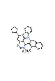 Cc1c2ccccc2cc2c1c1c3c(cc(C4CCCC4)c4c5ccccc5n2c43)nc[n+]1C